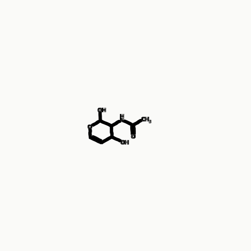 CC(=O)NC1C(O)C=COC1O